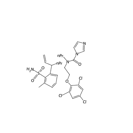 C=CC(CCC)c1cccc(C)c1S(N)(=O)=O.CCCN(CCOc1c(Cl)cc(Cl)cc1Cl)C(=O)n1ccnc1